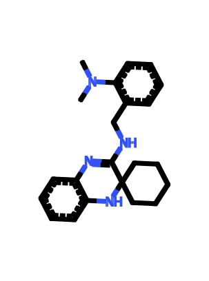 CN(C)c1ccccc1CNC1=Nc2ccccc2NC12CCCCC2